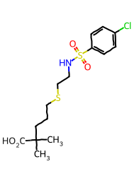 CC(C)(CCCSCCNS(=O)(=O)c1ccc(Cl)cc1)C(=O)O